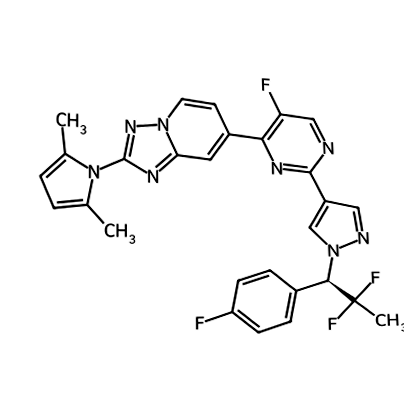 Cc1ccc(C)n1-c1nc2cc(-c3nc(-c4cnn([C@H](c5ccc(F)cc5)C(C)(F)F)c4)ncc3F)ccn2n1